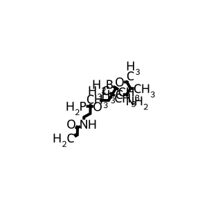 BC(C)(OC(C)C(C)C(C)N)C(C)(C)CCOC(C)(P)CCNC(=O)C=C